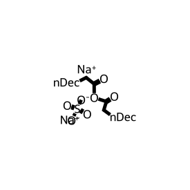 CCCCCCCCCCCC(=O)OC(=O)CCCCCCCCCCC.O=S(=O)([O-])[O-].[Na+].[Na+]